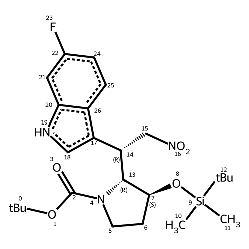 CC(C)(C)OC(=O)N1CC[C@H](O[Si](C)(C)C(C)(C)C)[C@H]1[C@@H](C[N+](=O)[O-])c1c[nH]c2cc(F)ccc12